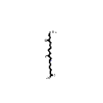 CCCCCCCCCCCCC(=O)CCCCCC(=O)/C=C/CCCCC(=O)C(C)=O